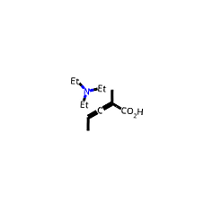 CC=C=C(C)C(=O)O.CCN(CC)CC